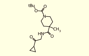 CC(C)(C)OC(=O)N1CCC(C)(C(=O)NCC(=O)C2CC2)CC1